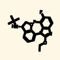 CCOc1nc2ccc(F)c(F)c2n1-c1cccc2c1OC[C@H]2NC(C)(C)C